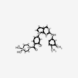 Cc1ccc(Nc2ncc3ccn(-c4ccc(C(=O)N5CCS(O)(O)CC5)c(F)c4)c3n2)cc1C